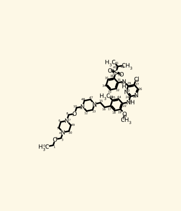 CCOCN1CCN(COCN2CCN(CCc3cc(OC)c(Nc4ncc(Cl)c(Nc5ccccc5S(=O)(=O)C(C)C)n4)cc3C)CC2)CC1